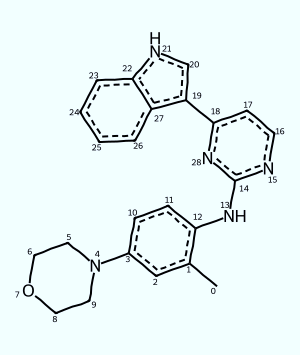 Cc1cc(N2CCOCC2)ccc1Nc1nccc(-c2c[nH]c3ccccc23)n1